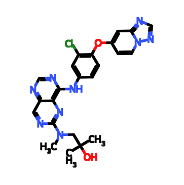 CN(CC(C)(C)O)c1ncc2ncnc(Nc3ccc(Oc4ccn5ncnc5c4)c(Cl)c3)c2n1